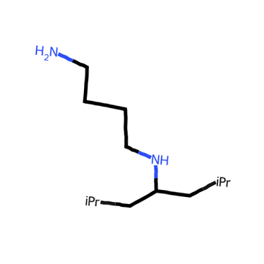 CC(C)CC(CC(C)C)NCCCCN